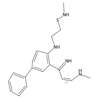 CN/C=C\C(=N)c1cc(-c2ccccc2)ccc1NCCSNC